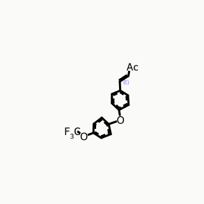 CC(=O)/C=C/c1ccc(Oc2ccc(OC(F)(F)F)cc2)cc1